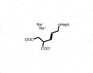 CCCCCCCCC=CC(CC(=O)[O-])C(=O)[O-].[Na+].[Na+]